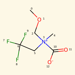 COC[N+](C)(CC(F)(F)F)C(=O)[O-]